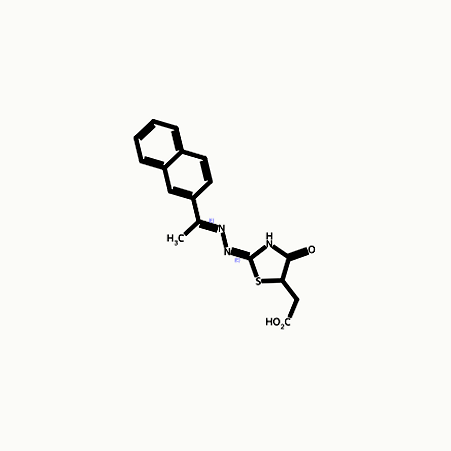 C/C(=N\N=C1/NC(=O)C(CC(=O)O)S1)c1ccc2ccccc2c1